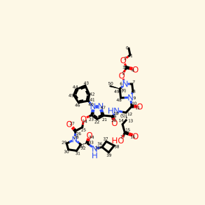 CCOC(=O)ON1CCN(C(=O)[C@H](CCC(=O)O)NC(=O)c2cc(OCC(=O)N3CCC[C@H]3C(=O)NC3CCC3)n(-c3ccccc3)n2)C[C@H]1C